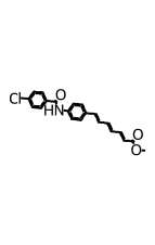 COC(=O)C=CC=CC=Cc1ccc(NC(=O)c2ccc(Cl)cc2)cc1